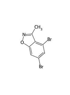 Cc1noc2cc(Br)cc(Br)c12